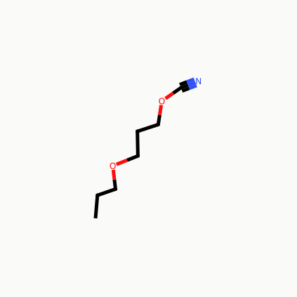 CCCOCCCOC#N